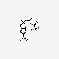 CN(CC1(C)Cn2cc([N+](=O)[O-])nc2O1)OC(=O)C(F)(F)F